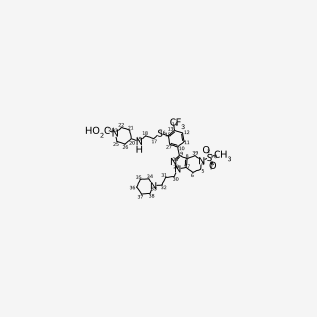 CS(=O)(=O)N1CCc2c(c(-c3ccc(C(F)(F)F)c(SCCNC4CCN(C(=O)O)CC4)c3)nn2CCCN2CCCCC2)C1